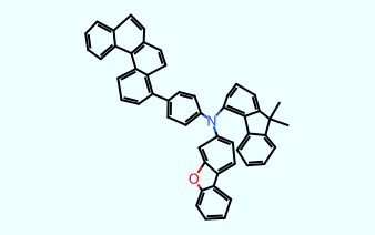 CC1(C)c2ccccc2-c2c(N(c3ccc(-c4cccc5c4ccc4ccc6ccccc6c45)cc3)c3ccc4c(c3)oc3ccccc34)cccc21